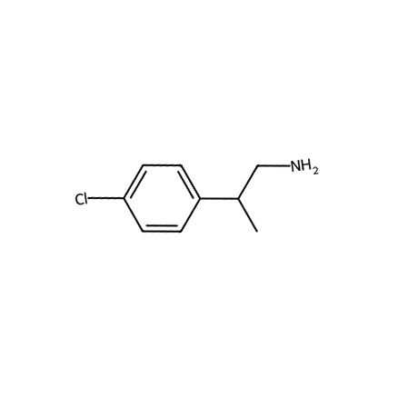 CC(CN)c1ccc(Cl)cc1